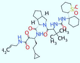 C=CCNC(=O)C(=O)[C@H](CCC1CC1)NC(=O)[C@@H]1[C@H]2CCC[C@H]2CN1C(=O)[C@@H](NC(=O)NC1([C@@H]2CCCCS2(=O)=O)CCCCC1)C(C)(C)C